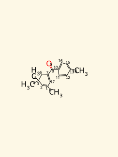 CC1=CC(C)(C)CC(C(=O)c2ccc(C)cc2)=C1